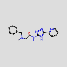 CN(CC(=O)Nc1nnc(-c2ccccn2)[nH]1)Cc1ccccc1